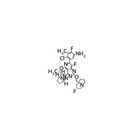 Cc1c(F)c(N)cc(-c2nc3c4c(nc(OC[C@@]56CCCN5C[C@H](F)C6)nc4c2F)N2C[C@H]4CC[C@H](N4)[C@H]2[C@H](C)O3)c1Cl